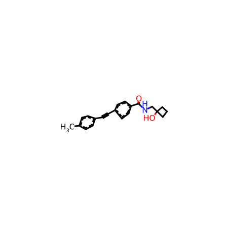 Cc1ccc(C#Cc2ccc(C(=O)NCC3(O)CCC3)cc2)cc1